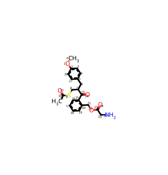 COc1ccc(CC(CSC(C)=O)C(=O)c2ccccc2COC(=O)CN)cc1